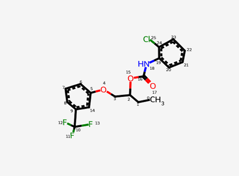 CCC(COc1cccc(C(F)(F)F)c1)OC(=O)Nc1ccccc1Cl